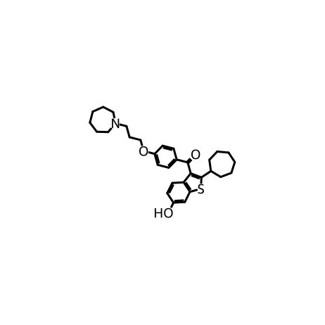 O=C(c1ccc(OCCCN2CCCCCC2)cc1)c1c(C2CCCCCC2)sc2cc(O)ccc12